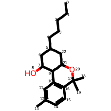 CCCCCC1CC(O)C2c3cc(C)ccc3C(C)(C)OC2C1